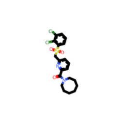 O=C(c1cccc(CS(=O)(=O)c2cccc(Cl)c2Cl)n1)N1CCCCCCC1